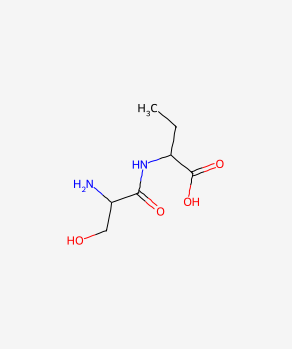 CCC(NC(=O)C(N)CO)C(=O)O